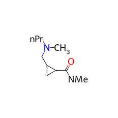 CCCN(C)CC1CC1C(=O)NC